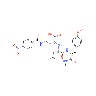 CNC(=O)[C@H](Cc1ccc(OC)cc1)NC(=O)[C@H](CC(C)C)N[C@H](CCNC(=O)c1ccc([N+](=O)[O-])cc1)C(=O)O